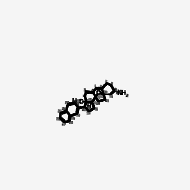 C[C@]12CC=C3C=C4CC[C@H](N)C[C@]45CCC3(O5)[C@@H]1CCC2c1ccc2ccccc2c1